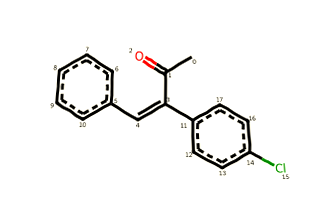 CC(=O)/C(=C\c1ccccc1)c1ccc(Cl)cc1